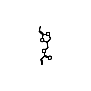 C=CC(=O)OCC1COC(=CC)O1